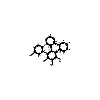 Cc1cccc(-c2c(C)c(C)c(C)c3c4ccccc4c4ccccc4c23)c1